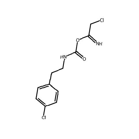 N=C(CCl)OC(=O)NCCc1ccc(Cl)cc1